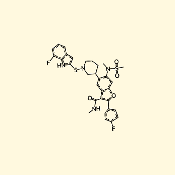 CNC(=O)c1c(-c2ccc(F)cc2)oc2cc(N(C)S(C)(=O)=O)c(C3CCCN(Sc4cc5cccc(F)c5[nH]4)C3)cc12